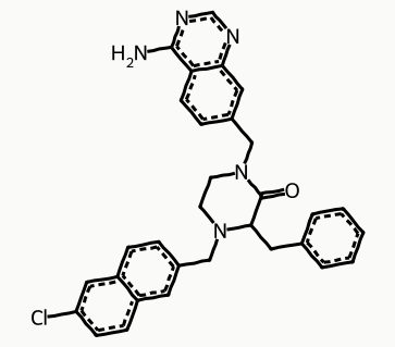 Nc1ncnc2cc(CN3CCN(Cc4ccc5cc(Cl)ccc5c4)C(Cc4ccccc4)C3=O)ccc12